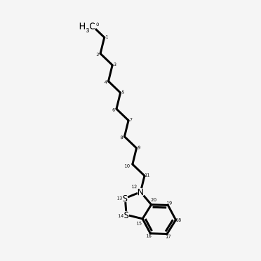 CCCCCCCCCCCCN1SSc2ccccc21